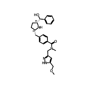 COCc1cc(CN(C)C(=O)c2ccc(C[C@@H]3CC[C@H](C(O)c4ccccc4)N3)cc2)n[nH]1